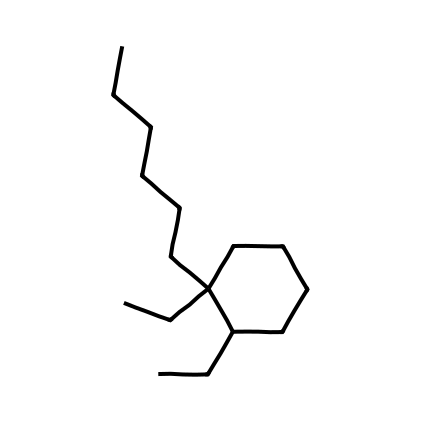 CCCCCCC1(CC)CCCCC1CC